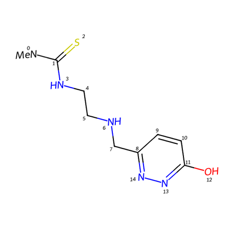 CNC(=S)NCCNCc1ccc(O)nn1